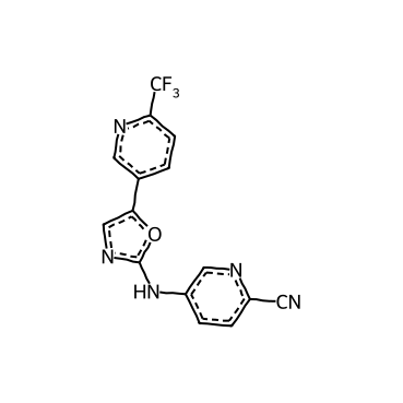 N#Cc1ccc(Nc2ncc(-c3ccc(C(F)(F)F)nc3)o2)cn1